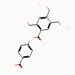 O=C(O)c1ccc(OC(=O)c2cc(CO)c(CO)cc2CO)cc1